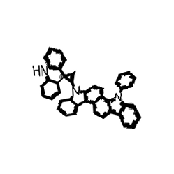 N=C1C=CC=CC1[C@@]1(c2ccccc2)C=C1N1c2ccc3c(ccc4c5ccccc5n(-c5ccccc5)c34)c2C2=CC=CCC21